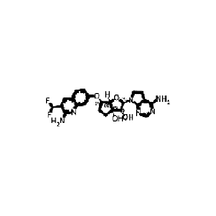 Nc1nc2cc(O[C@H]3CC[C@@]4(O)[C@@H]3O[C@@H](N3CCc5c(N)ncnc53)[C@@H]4O)ccc2cc1C(F)F